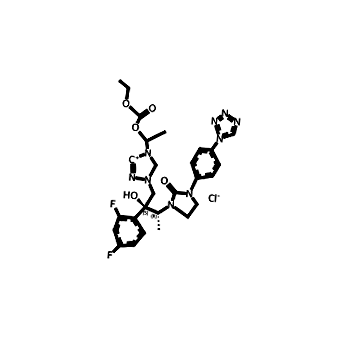 CCOC(=O)OC(C)N1[C+]=NN(C[C@@](O)(c2ccc(F)cc2F)[C@@H](C)N2CCN(c3ccc(-n4cnnn4)cc3)C2=O)C1.[Cl-]